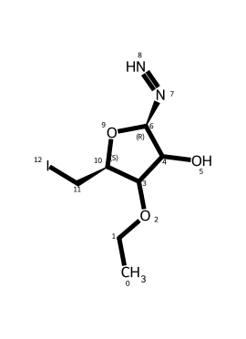 CCOC1C(O)[C@H](N=N)O[C@@H]1CI